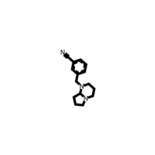 N#Cc1cccc(CN2CCCN3CCCC32)c1